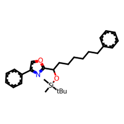 CC(C)(C)[Si](C)(C)OC(CCCCCCc1ccccc1)c1nc(-c2ccccc2)co1